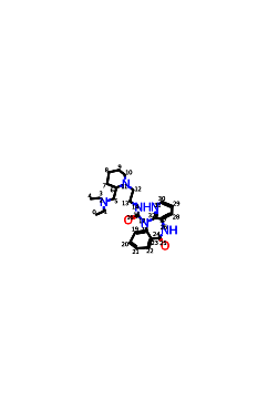 CCN(CC)CC1CCCCN1CCNC(=O)N1c2ccccc2C(=O)Nc2cccnc21